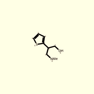 CNCC(CO)c1cccs1